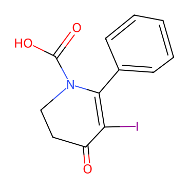 O=C1CCN(C(=O)O)C(c2ccccc2)=C1I